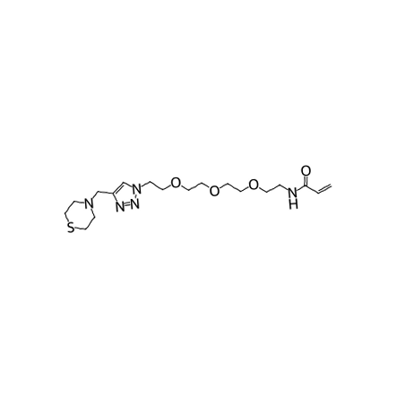 C=CC(=O)NCCOCCOCCOCCn1cc(CN2CCSCC2)nn1